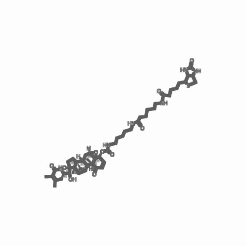 CC1=C(C)C(=O)O[C@@H]([C@](C)(O)[C@]2(O)CC[C@@]3(CO)[C@@H]4C[C@H]5O[C@]56[C@@H](OC(=O)NCCCCCNC(=O)CCCCCNC(=O)CCCCC5SCC7NC(=O)NC75)C=CC(=O)[C@]6(C)[C@H]4CC[C@@]32C)C1